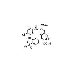 COc1cc2c(cc1Nc1ncc(Cl)c(Nc3ccccc3S(=O)(=O)C(C)C)n1)C=C(C(=O)O)NC2